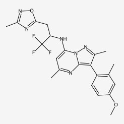 COc1ccc(-c2c(C)nn3c(NC(Cc4nc(C)no4)C(F)(F)F)cc(C)nc23)c(C)c1